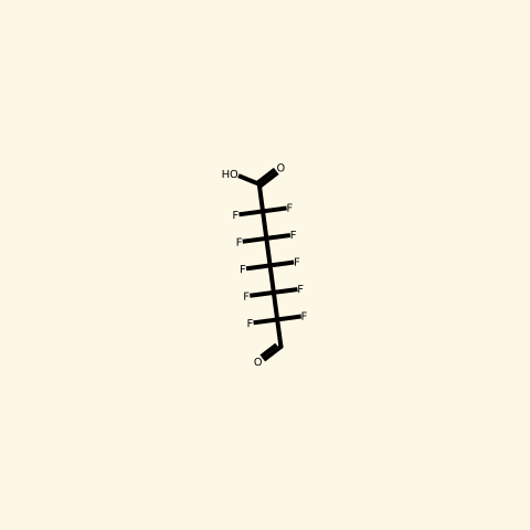 O=CC(F)(F)C(F)(F)C(F)(F)C(F)(F)C(F)(F)C(=O)O